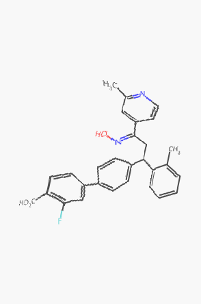 Cc1cc(C(CC(c2ccc(-c3ccc(C(=O)O)c(F)c3)cc2)c2ccccc2C)=NO)ccn1